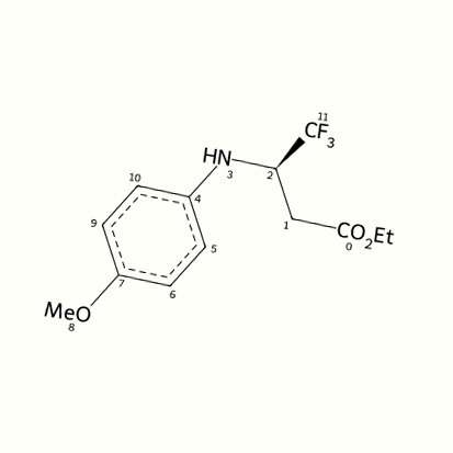 CCOC(=O)C[C@@H](Nc1ccc(OC)cc1)C(F)(F)F